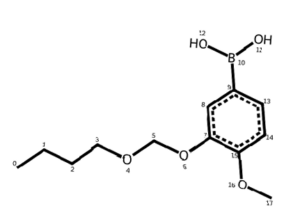 CCCCOCOc1cc(B(O)O)ccc1OC